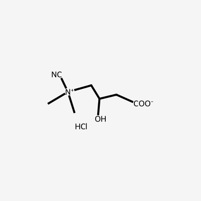 C[N+](C)(C#N)CC(O)CC(=O)[O-].Cl